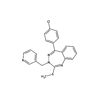 CSC1=Nc2ccccc2C(c2ccc(Cl)cc2)=NN1Cc1cccnc1